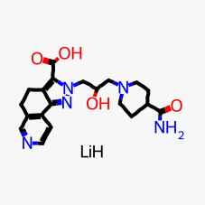 NC(=O)C1CCN(CC(O)Cn2nc3c(c2C(=O)O)CCc2cnccc2-3)CC1.[LiH]